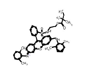 CCC(C)(C)C(=O)OCCNS(=O)(=O)c1ccccc1-c1c2cc/c(=N\c3c(C)cccc3C)cc-2oc2cc(Nc3c(C)cccc3C)ccc12